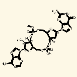 COP1(=O)OCC2O[C@@H](n3cnc4c(=O)[nH]c(N)nc43)C[C@@H]2OP(=O)(O)OCC2O[C@@H](n3cnc4c(N)ncnc43)[C@H](O)[C@@H]2O1